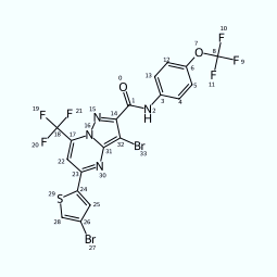 O=C(Nc1ccc(OC(F)(F)F)cc1)c1nn2c(C(F)(F)F)cc(-c3cc(Br)cs3)nc2c1Br